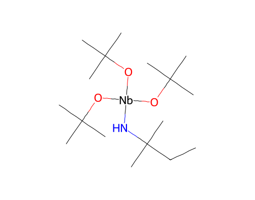 CCC(C)(C)[NH][Nb]([O]C(C)(C)C)([O]C(C)(C)C)[O]C(C)(C)C